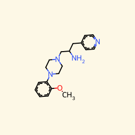 COc1ccccc1N1CCN(CC(N)Cc2ccncc2)CC1